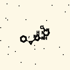 Clc1nccc(Nc2cc([C@H]3C[C@@H]3c3ccccc3)n[nH]2)n1